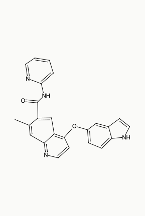 Cc1cc2nccc(Oc3ccc4[nH]ccc4c3)c2cc1C(=O)Nc1ccccn1